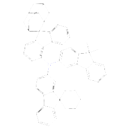 CC1(C)c2ccccc2-c2cc(N(c3ccc4c(c3)C3(CCCCC3)c3ccccc3-4)c3cccc4c3-c3ccccc3C43C4CC5CC(C4)CC3C5)ccc21